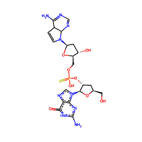 NC1=NC=NC2C1C=CN2[C@H]1C[C@H](O)[C@@H](COP(O)(=S)O[C@@H]2C[C@@H](CO)O[C@H]2n2cnc3c(=O)[nH]c(N)nc32)O1